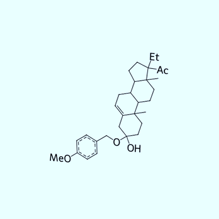 CCC1(C(C)=O)CCC2C3CC=C4CC(O)(OCc5ccc(OC)cc5)CCC4(C)C3CCC21C